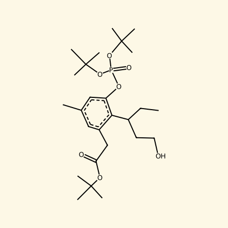 CCC(CCO)c1c(CC(=O)OC(C)(C)C)cc(C)cc1OP(=O)(OC(C)(C)C)OC(C)(C)C